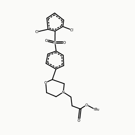 CC(C)(C)OC(=O)CCN1CCOC(c2ccc(S(=O)(=O)c3c(Cl)cccc3Cl)cc2)C1